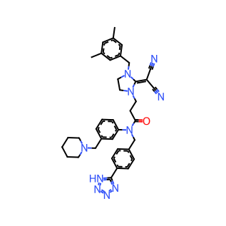 Cc1cc(C)cc(CN2CCN(CCC(=O)N(Cc3ccc(-c4nnn[nH]4)cc3)c3cccc(CN4CCCCC4)c3)C2=C(C#N)C#N)c1